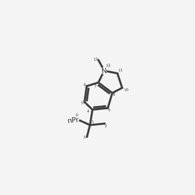 CCCC(C)(C)c1ccc2c(c1)CCN2C